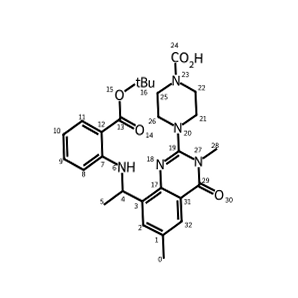 Cc1cc(C(C)Nc2ccccc2C(=O)OC(C)(C)C)c2nc(N3CCN(C(=O)O)CC3)n(C)c(=O)c2c1